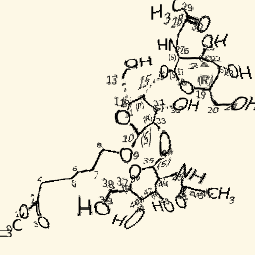 COC(=O)CCCCCO[C@H]1O[C@H](CO)[C@H](O[C@@H]2O[C@H](CO)[C@@H](O)[C@H](O)[C@@H]2NC(C)=O)[C@H](O)[C@H]1O[C@@H]1O[C@H](CO)[C@@H](O)[C@H](O)[C@@H]1NC(C)=O